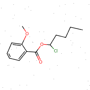 CCCCC(Cl)OC(=O)c1ccccc1OC